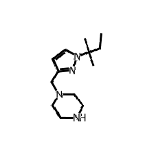 CCC(C)(C)n1ccc(CN2CCNCC2)n1